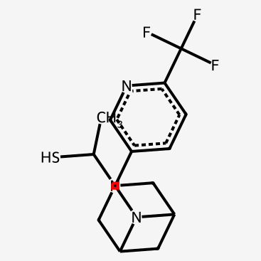 CC(S)N1CC2CC(C1)N2Cc1ccc(C(F)(F)F)nc1